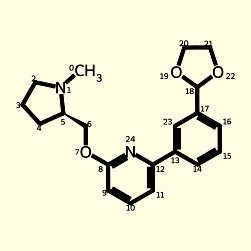 CN1CCC[C@@H]1COc1cccc(-c2cccc(C3OCCO3)c2)n1